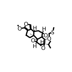 COc1occ2c1CC[C@@]1(C)[C@H]2C[C@@H]2O[C@@]23[C@H](OCSC)[C@@]2(C(C)C)O[C@H]2[C@@H]2O[C@@]231